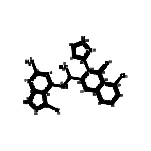 CC(Nc1nc(N)nc2[nH]nc(Br)c12)c1nc2cccc(Cl)c2c(=O)n1-c1cc[nH]n1